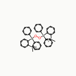 C[SiH2]c1ccccc1[Si](OO[Si](c1ccccc1)(c1ccccc1)c1ccccc1[SiH2]C)(c1ccccc1)c1ccccc1